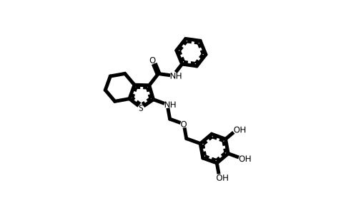 O=C(Nc1ccccc1)c1c(NCOCc2cc(O)c(O)c(O)c2)sc2c1CCCC2